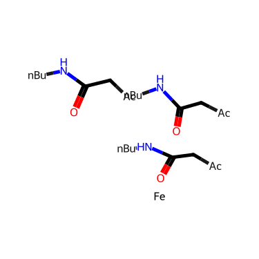 CCCCNC(=O)CC(C)=O.CCCCNC(=O)CC(C)=O.CCCCNC(=O)CC(C)=O.[Fe]